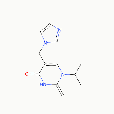 C=C1NC(=O)C(Cn2ccnc2)=CN1C(C)C